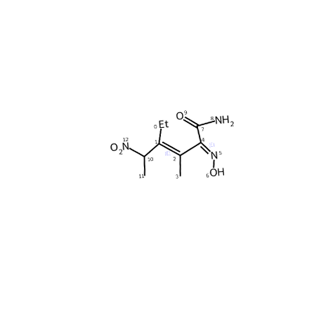 CC/C(=C(C)\C(=N/O)C(N)=O)C(C)[N+](=O)[O-]